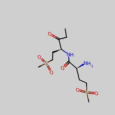 CCC(=O)[C@H](CCS(C)(=O)=O)NC(=O)[C@@H](N)CCS(C)(=O)=O